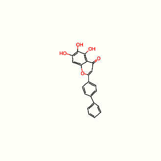 O=c1cc(-c2ccc(-c3ccccc3)cc2)oc2cc(O)c(O)c(O)c12